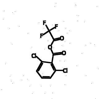 O=C(OC(=O)C(F)(F)F)c1c(Cl)cccc1Cl